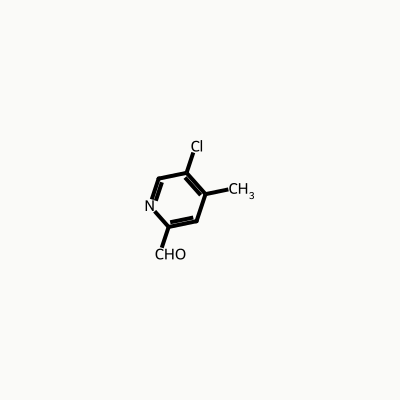 Cc1cc(C=O)ncc1Cl